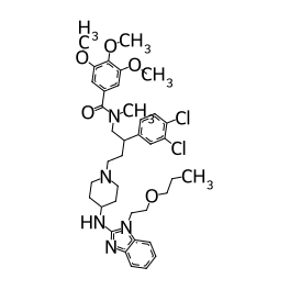 CCCOCCn1c(NC2CCN(CCC(CN(C)C(=O)c3cc(OC)c(OC)c(OC)c3)c3ccc(Cl)c(Cl)c3)CC2)nc2ccccc21